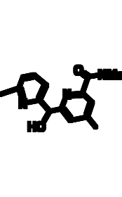 CNC(=O)c1cc(C)cc(C(O)c2cccc(C)n2)n1